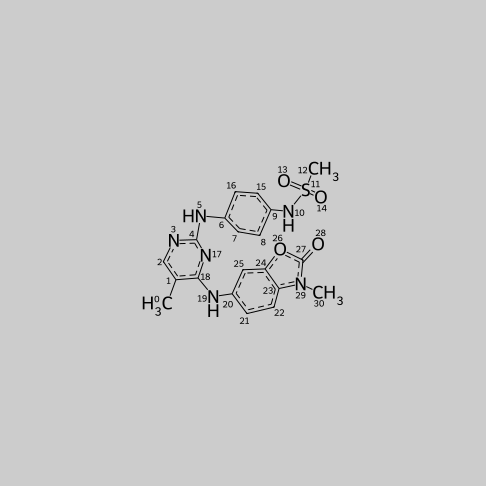 Cc1cnc(Nc2ccc(NS(C)(=O)=O)cc2)nc1Nc1ccc2c(c1)oc(=O)n2C